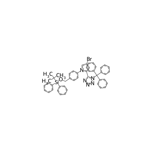 CC(C)(C)[Si](OCc1ccc(-n2cc(Br)cc2-c2nnnn2C(c2ccccc2)(c2ccccc2)c2ccccc2)cc1)(c1ccccc1)c1ccccc1